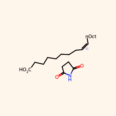 CCCCCCCC/C=C\CCCCCCCC(=O)O.O=C1CCC(=O)N1